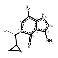 C[C@@H](C1CC1)n1cc(Br)c2[nH]nc(N)c2c1=O